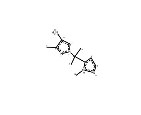 Cc1nn(C(C)(C)c2ccnn2C)cc1N